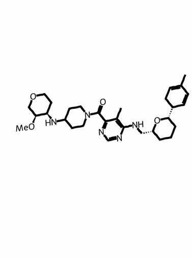 CO[C@H]1COCC[C@H]1NC1CCN(C(=O)c2ncnc(NC[C@H]3CCC[C@@H](C4C=CC(C)=CC4)O3)c2C)CC1